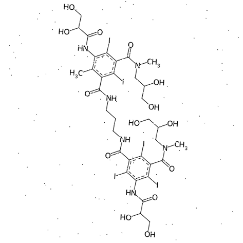 Cc1c(NC(=O)C(O)CO)c(I)c(C(=O)N(C)CC(O)CO)c(I)c1C(=O)NCCCNC(=O)c1c(I)c(NC(=O)C(O)CO)c(I)c(C(=O)N(C)CC(O)CO)c1I